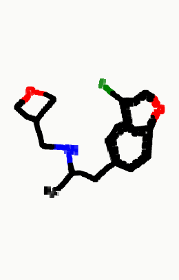 CC(Cc1ccc2occ(F)c2c1)NCC1COC1